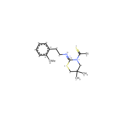 CCC(=S)N1CC(C)(C)CS/C1=N\CCc1ccccc1OC